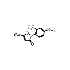 CC(C)(C)c1cc(=O)n(-c2ccc([N+](=O)[O-])cc2C(F)(F)F)o1